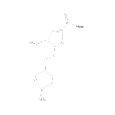 CNC(=O)c1cc(C(=O)O)c(CCc2ccc(C)cc2)o1